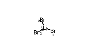 [Br][Li]([Br])[Br]